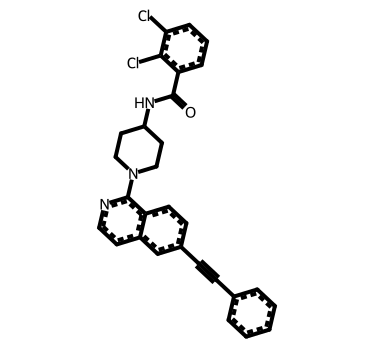 O=C(NC1CCN(c2nccc3cc(C#Cc4ccccc4)ccc23)CC1)c1cccc(Cl)c1Cl